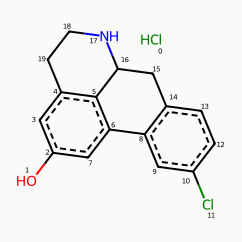 Cl.Oc1cc2c3c(c1)-c1cc(Cl)ccc1CC3NCC2